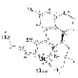 CC1(C)C[C@H](N2CCOc3cc(C#N)cc(-c4ccnc5cc(CO)sc45)c32)CN1S(=O)(=O)C(C)(C)C